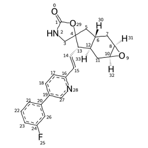 O=C1NCC2(C[C@@H]3C[C@H]4O[C@H]4C[C@H]3[C@@H]2/C=C/c2ccc(-c3cccc(F)c3)cn2)O1